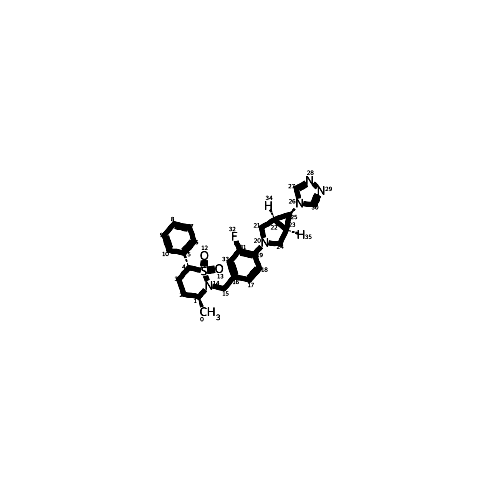 C[C@H]1CC[C@H](c2ccccc2)S(=O)(=O)N1Cc1ccc(N2C[C@@H]3[C@H](C2)[C@H]3n2cnnc2)c(F)c1